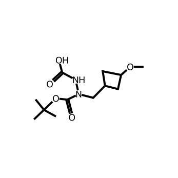 COC1CC(CN(NC(=O)O)C(=O)OC(C)(C)C)C1